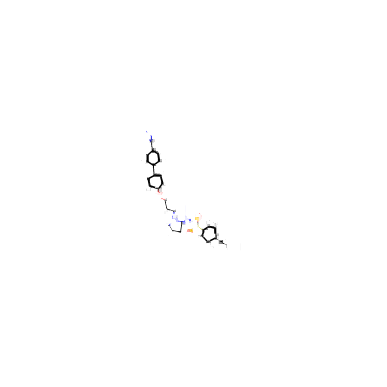 CC(C)(C)c1ccc(S(=O)(=O)NC2CCCN2CCCOc2ccc(-c3ccc(C#N)cc3)cc2)cc1